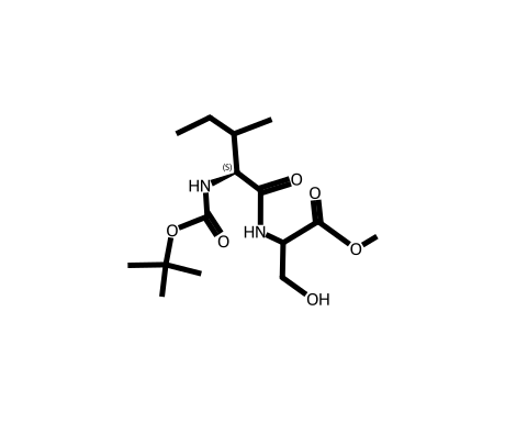 CCC(C)[C@H](NC(=O)OC(C)(C)C)C(=O)NC(CO)C(=O)OC